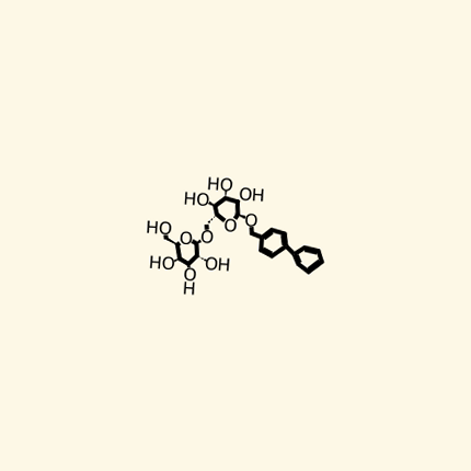 OC[C@H]1O[C@@H](OC[C@H]2O[C@H](OCc3ccc(-c4ccccc4)cc3)[C@H](O)[C@@H](O)[C@@H]2O)[C@H](O)[C@@H](O)[C@@H]1O